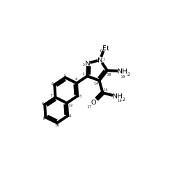 CCn1nc(-c2ccc3ccccc3c2)c(C(N)=O)c1N